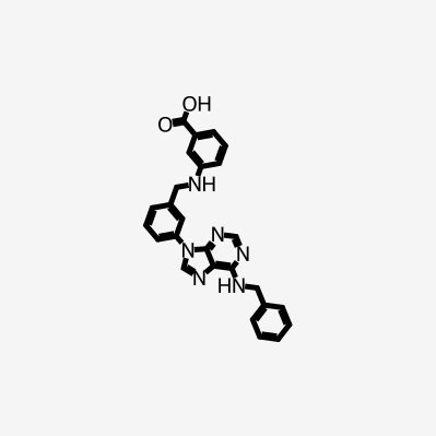 O=C(O)c1cccc(NCc2cccc(-n3cnc4c(NCc5ccccc5)ncnc43)c2)c1